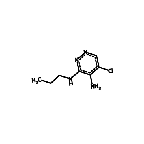 CCCNc1nncc(Cl)c1N